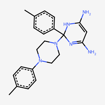 Cc1ccc(N2CCN(C3(c4ccc(C)cc4)N=C(N)C=C(N)N3)CC2)cc1